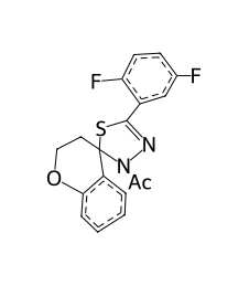 CC(=O)N1N=C(c2cc(F)ccc2F)SC12CCOc1ccccc12